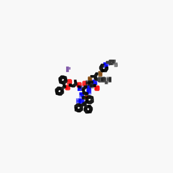 CC(CC(=O)OC(c1ccccc1)c1ccccc1)O/N=C(\C(=O)N[C@@H]1C(=O)N2C(C(=O)O)=C(CSc3cc[n+](CC(F)(F)F)cc3)CS[C@H]12)c1csc(NC(c2ccccc2)(c2ccccc2)c2ccccc2)n1.[I-]